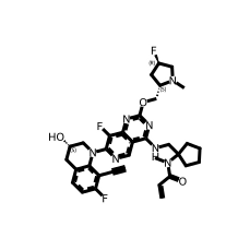 C#Cc1c(F)ccc2c1N(c1ncc3c(NCC4(N(C)C(=O)C=C)CCCC4)nc(OC[C@@H]4C[C@@H](F)CN4C)nc3c1F)C[C@@H](O)C2